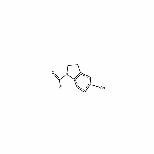 N#Cc1ccc2c(c1)CCN2C(=O)Cl